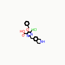 Cc1nc(Cc2ccc3c(c2)CCNC3)nc(C(=O)O)c1OCc1ccccc1.Cl